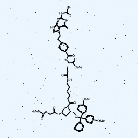 CNC(=O)CCC(=O)O[C@@H]1C[C@@H](COC(c2ccccc2)(c2ccc(OC)cc2)c2ccc(OC)cc2)N(C(=O)CCCCCNC(=O)CC[C@H](NC(=O)c2ccc(CCc3c[nH]c4nc(NC(=O)C(C)C)[nH]c(=O)c34)cc2)C(=O)OC)C1